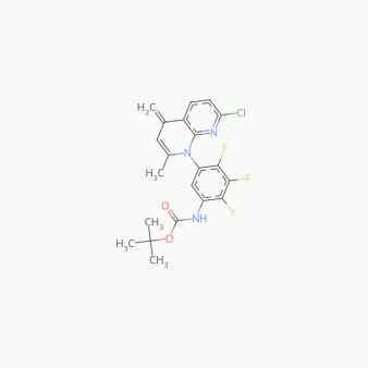 C=C1C=C(C)N(c2cc(NC(=O)OC(C)(C)C)c(F)c(F)c2F)c2nc(Cl)ccc21